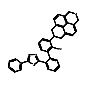 Oc1c(-c2ccccc2-c2nnc(-c3ccccc3)o2)cccc1C1Cc2ccc3c4c(ccc(c24)C1)COC3